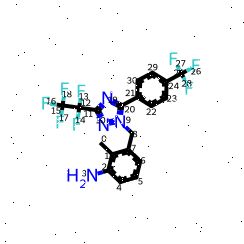 Cc1c(N)cccc1Cn1nc(C(F)(F)C(F)(F)F)nc1-c1ccc(C(F)(F)F)cc1